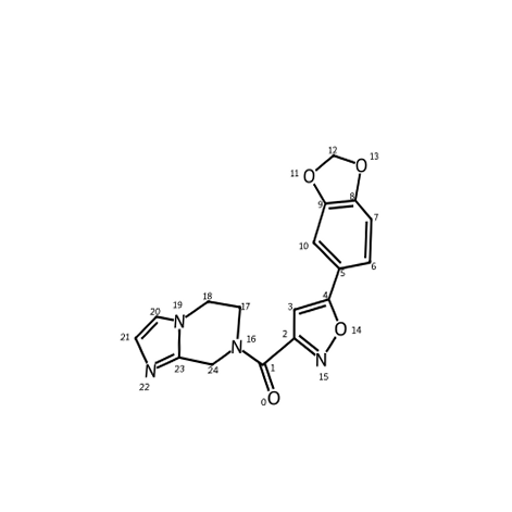 O=C(c1cc(-c2ccc3c(c2)OCO3)on1)N1CCn2ccnc2C1